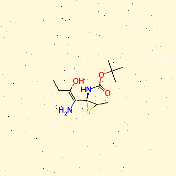 CC/C(O)=C(\N)[C@@]1(NC(=O)OC(C)(C)C)SC1C